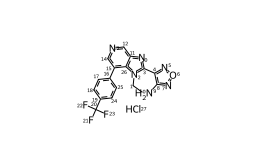 CCn1c(-c2nonc2N)nc2cncc(-c3ccc(C(F)(F)F)cc3)c21.Cl